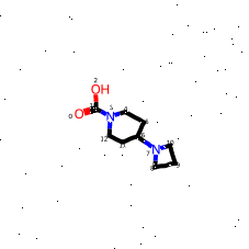 O=C(O)N1CCC(N2CCC2)CC1